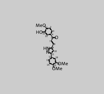 COc1ccc(C(=O)C=Cc2cc(-c3ccc(OC)c(OC)c3)n[nH]2)cc1O